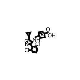 O=C(O)C12CCC(CNc3c(-c4c(Cl)cccc4Cl)noc3C3CC3)(CC1)CC2